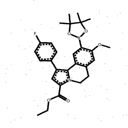 CCOC(=O)c1cc(-c2ccc(F)cc2)c2n1CCc1cc(OC)c(B3OC(C)(C)C(C)(C)O3)cc1-2